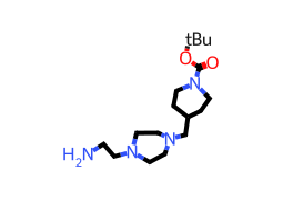 CC(C)(C)OC(=O)N1CCC(CN2CCN(CCN)CC2)CC1